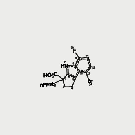 CCCCCC1(C(=O)O)CCc2c1[nH]c1c(F)ccc(Br)c21